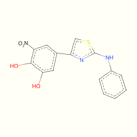 O=[N+]([O-])c1cc(-c2csc(Nc3ccccc3)n2)cc(O)c1O